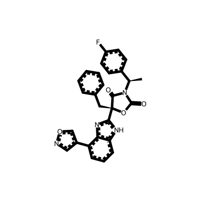 C[C@H](c1ccc(F)cc1)N1C(=O)O[C@](Cc2ccccc2)(c2nc3c(-c4cnoc4)cccc3[nH]2)C1=O